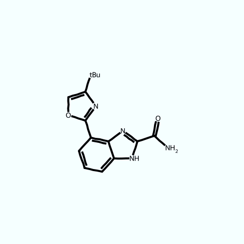 CC(C)(C)c1coc(-c2cccc3[nH]c(C(N)=O)nc23)n1